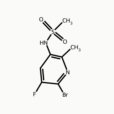 Cc1nc(Br)c(F)cc1NS(C)(=O)=O